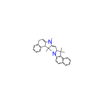 CN1C2=CCc3ccccc3C2C(C)(C)/C1=C\C1=Nc2ccc3ccccc3c2C1(C)C